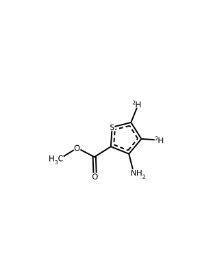 [2H]c1sc(C(=O)OC)c(N)c1[2H]